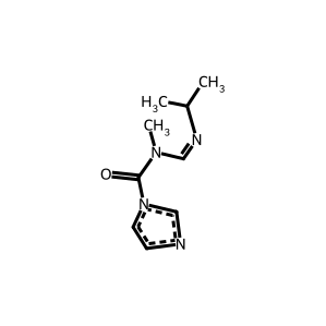 CC(C)/N=C\N(C)C(=O)n1ccnc1